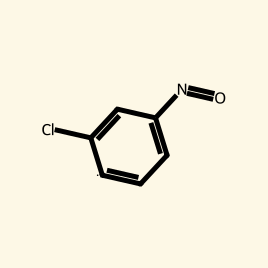 O=Nc1cc[c]c(Cl)c1